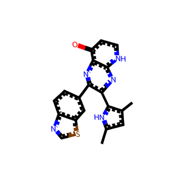 Cc1cc(C)c(-c2nc3[nH]ccc(=O)c3nc2-c2ccc3ncsc3c2)[nH]1